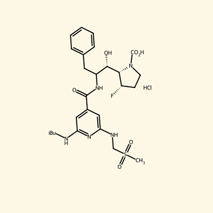 CCC(C)Nc1cc(C(=O)NC(Cc2ccccc2)[C@H](O)[C@H]2[C@@H](F)CCN2C(=O)O)cc(NCS(C)(=O)=O)n1.Cl